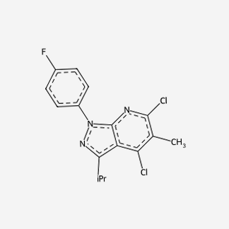 Cc1c(Cl)nc2c(c(C(C)C)nn2-c2ccc(F)cc2)c1Cl